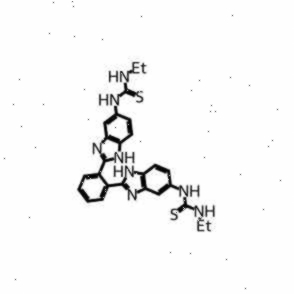 CCNC(=S)Nc1ccc2[nH]c(-c3ccccc3-c3nc4cc(NC(=S)NCC)ccc4[nH]3)nc2c1